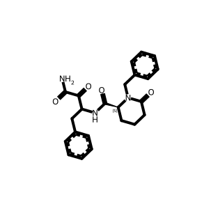 NC(=O)C(=O)C(Cc1ccccc1)NC(=O)[C@@H]1CCCC(=O)N1Cc1ccccc1